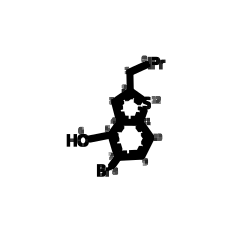 CC(C)Cc1cc2c(O)c(Br)ccc2s1